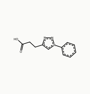 O=C(O)CCc1cn(-c2ccccc2)nn1